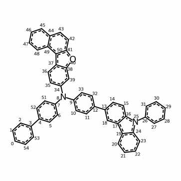 c1ccc(-c2ccc(N(c3ccc(-c4ccc5c(c4)c4ccccc4n5-c4ccccc4)cc3)c3ccc4c(c3)oc3ccc5ccccc5c34)cc2)cc1